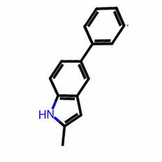 Cc1cc2cc(-c3c[c]ccc3)ccc2[nH]1